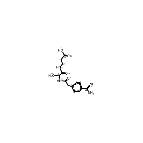 C[C@H](NC(=O)Cc1ccc(C(=N)N)cc1)C(=O)NCCC(=O)O